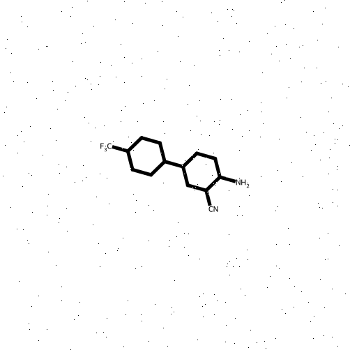 N#CC1CC(C2CCC(C(F)(F)F)CC2)CCC1N